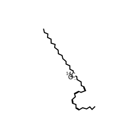 CCCCC/C=C\C/C=C\C/C=C\C/C=C\CC[CH]C[14C](=O)CCCCCCCCCCCCCCCCC